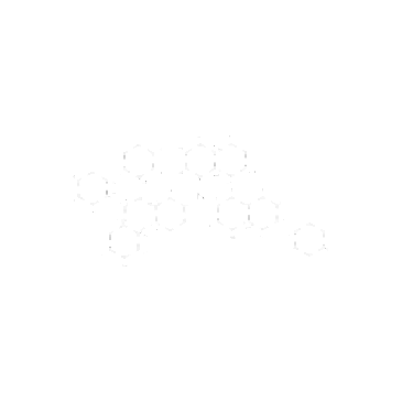 c1ccc(-c2ccc3cc(N(c4ccc5c(c4)c(-c4ccccc4)c(-c4ccccc4)c4ccccc45)c4cccc5ccccc45)ccc3c2)cc1